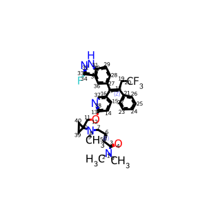 CN(C)C(=O)/C=C/CN(C)C1(COc2ccc(/C(=C(/CC(F)(F)F)c3ccccc3)c3ccc4[nH]nc(F)c4c3)cn2)CC1